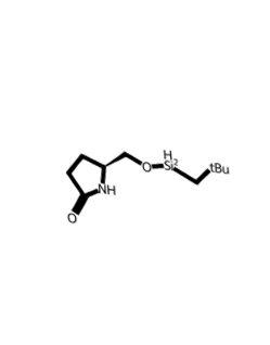 CC(C)(C)C[SiH2]OC[C@@H]1CCC(=O)N1